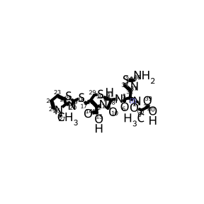 C[C@H](O/N=C(\C(=O)NC1C(=O)N2C(C(=O)O)=C(CSC3N=C4C(=CC=CN4C)S3)CS[C@H]12)c1csc(N)n1)C(=O)O